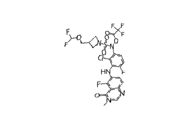 Cn1cnc2ccc(Nc3c(F)ccc(N(OC(=O)C(F)(F)F)S(=O)(=O)N4CC(COC(F)F)C4)c3Cl)c(F)c2c1=O